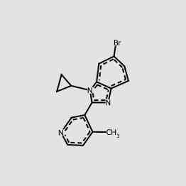 Cc1ccncc1-c1nc2ccc(Br)cc2n1C1CC1